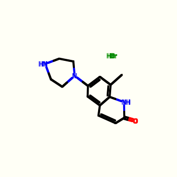 Br.Cc1cc(N2CCNCC2)cc2ccc(=O)[nH]c12